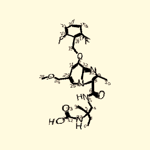 CCC(C)(CNC(=O)c1c(C)nc2c(OCc3c(F)cccc3F)cc(COC)cn12)NC(=O)O